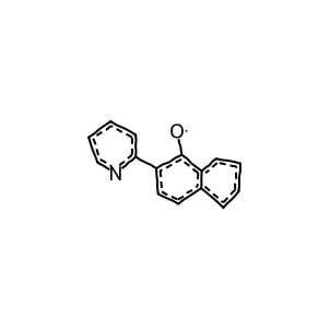 [O]c1c(-c2ccccn2)ccc2ccccc12